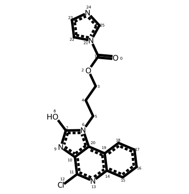 O=C(OCCCn1c(O)nc2c(Cl)nc3ccccc3c21)n1ccnc1